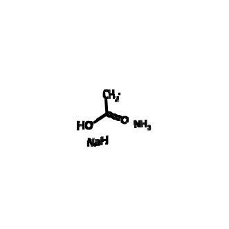 N.[CH2]C(=O)O.[NaH]